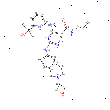 C=CCNC(=O)c1cnc(Nc2ccc3c(c2)CCN(C2COC2)C3)nc1Nc1cccc(C(C)(C)O)n1